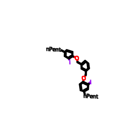 CCCCCc1ccc(OCc2cccc(COc3ccc(CCCCC)cc3I)c2)c(I)c1